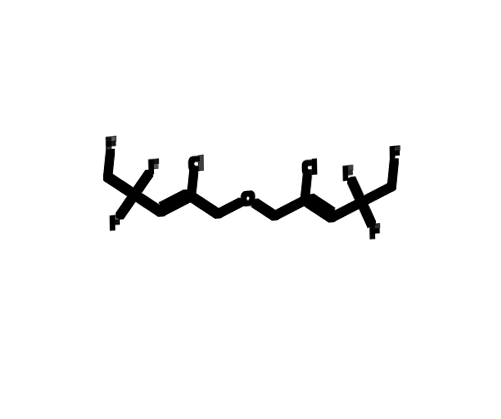 FCC(F)(F)C=C(Cl)COCC(Cl)=CC(F)(F)CF